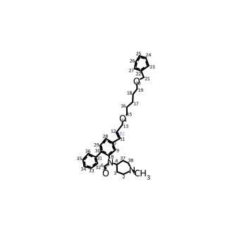 CN1CCC(N([C]=O)c2cc(/C=C/COCCCCCOCc3ccccc3)ccc2-c2ccccc2)CC1